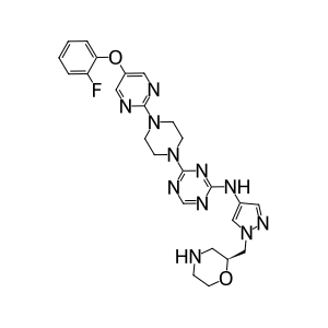 Fc1ccccc1Oc1cnc(N2CCN(c3ncnc(Nc4cnn(C[C@@H]5CNCCO5)c4)n3)CC2)nc1